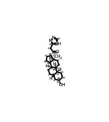 C[C@]12CC[C@H]3[C@@H](CC[C@@H]4C[C@H](O)CC[C@@H]43)[C@@H]1CC[C@@H]2C(=O)Cc1nnc[nH]1